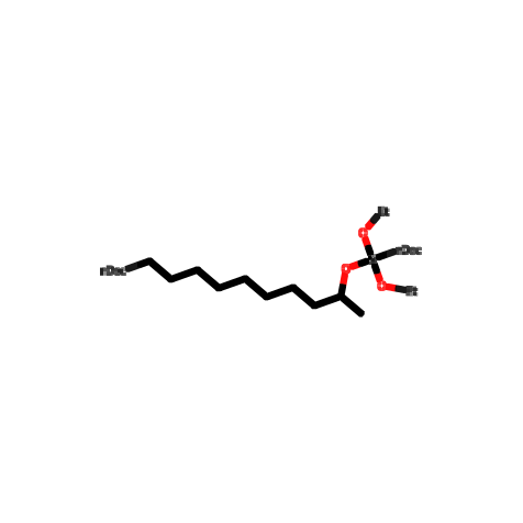 CCCCCCCCCCCCCCCCCCC(C)O[Si](CCCCCCCCCC)(OCC)OCC